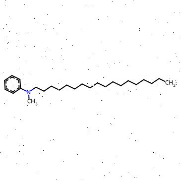 [CH2]CCCCCCCCCCCCCCCC[CH]N(C)c1ccccc1